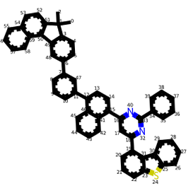 CC1(C)c2ccc(-c3cccc(-c4ccc(-c5cc(-c6cccc7sc8ccccc8c67)nc(-c6ccccc6)n5)c5ccccc45)c3)cc2-c2c1ccc1ccccc21